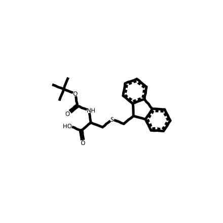 CC(C)(C)OC(=O)NC(CSCC1c2ccccc2-c2ccccc21)C(=O)O